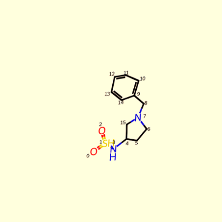 O=[SH](=O)NC1CCN(Cc2ccccc2)C1